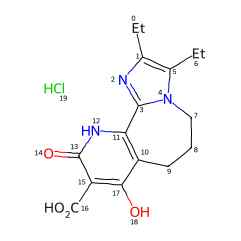 CCc1nc2n(c1CC)CCCc1c-2[nH]c(=O)c(C(=O)O)c1O.Cl